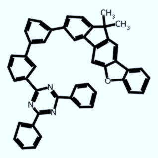 CC1(C)c2ccc(-c3cccc(-c4cccc(-c5nc(-c6ccccc6)nc(-c6ccccc6)n5)c4)c3)cc2-c2cc3oc4ccccc4c3cc21